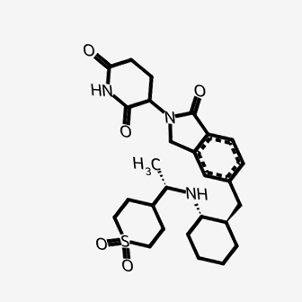 C[C@H](N[C@H]1CCCC[C@@H]1Cc1ccc2c(c1)CN(C1CCC(=O)NC1=O)C2=O)C1CCS(=O)(=O)CC1